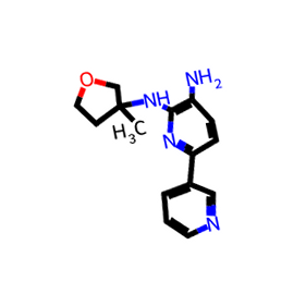 CC1(Nc2nc(-c3cccnc3)ccc2N)CCOC1